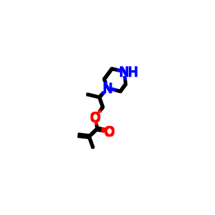 C=C(C)C(=O)OCC(C)N1CCNCC1